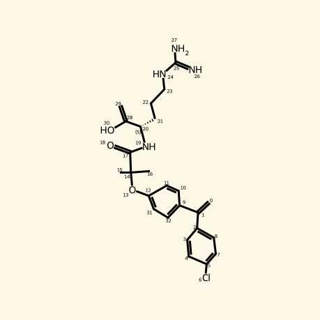 C=C(c1ccc(Cl)cc1)c1ccc(OC(C)(C)C(=O)N[C@@H](CCCNC(=N)N)C(=C)O)cc1